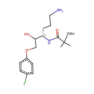 COC(C)(C)C(=O)N[C@@H](CCCN)C(O)COc1ccc(F)cc1